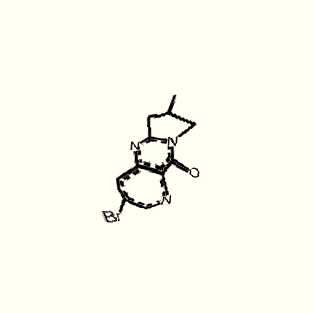 CC1Cc2nc3cc(Br)cnc3c(=O)n2C1